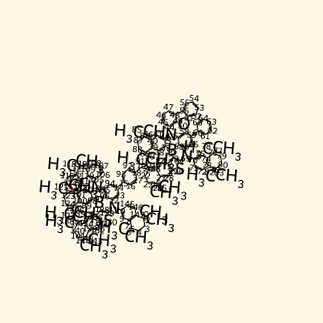 CC1(C)CCC(C)(C)c2cc(N3c4cc(-c5ccc(CC6(C)CCC(C)(C)c7cc8sc9c(c8cc76)B6c7cc8c(cc7N(c7cccc%10c7oc7ccccc7%10)c7cc(-c%10ccccc%10)cc(c76)N9c6ccc7c(c6)C(C)(C)CCC7(C)C)C(C)(C)CCC8(C)C)cc5)cc5c4B(c4cc6c(cc4N5c4cccc5c4-c4ccccc4C5(C)C)C(C)(C)CCC6(C)C)c4c3sc3cc5c(cc43)C(C)(C)CCC5(C)C)ccc21